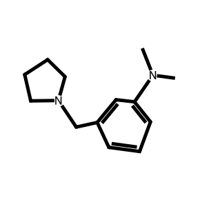 CN(C)c1cccc(CN2CCCC2)c1